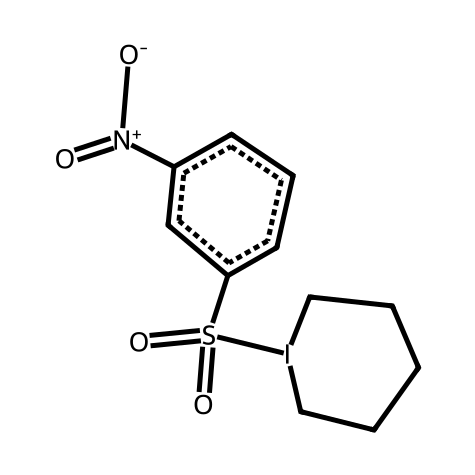 O=[N+]([O-])c1cccc(S(=O)(=O)I2CCCCC2)c1